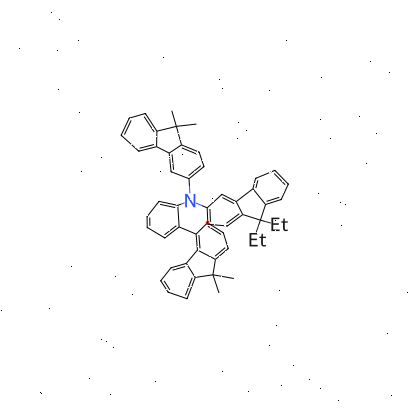 CCC1(CC)c2ccccc2-c2cc(N(c3ccc4c(c3)-c3ccccc3C4(C)C)c3ccccc3-c3cccc4c3-c3ccccc3C4(C)C)ccc21